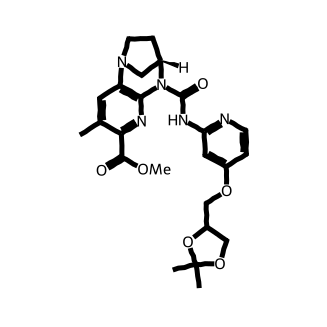 COC(=O)c1nc2c(cc1C)N1CC[C@@H](C1)N2C(=O)Nc1cc(OCC2COC(C)(C)O2)ccn1